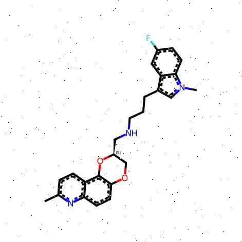 Cc1ccc2c3c(ccc2n1)OC[C@H](CNCCCc1cn(C)c2ccc(F)cc12)O3